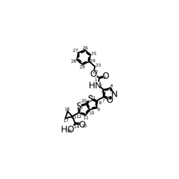 O=C(Nc1cnoc1-c1cc2cc(C3(C(=O)O)CC3)sc2s1)OCc1ccccc1